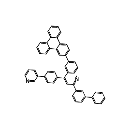 C/N=C(\C=C(\c1ccc(-c2cccnc2)cc1)c1cccc(-c2ccc3c4ccccc4c4ccccc4c3c2)c1)c1cccc(-c2ccccc2)c1